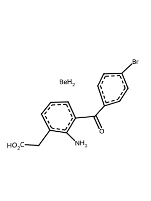 Nc1c(CC(=O)O)cccc1C(=O)c1ccc(Br)cc1.[BeH2]